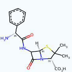 CC1(C)S[C@@H]2C(NC(=O)[C@H](N)c3ccccc3)C(=O)N2[C@H]1C(=O)O